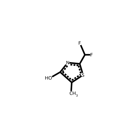 Cc1sc(C(F)F)nc1O